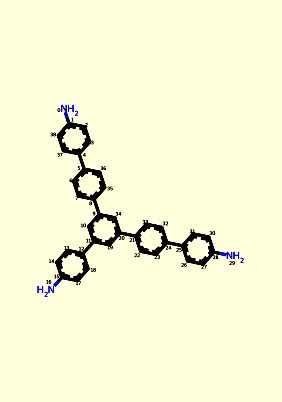 Nc1ccc(-c2ccc(-c3cc(-c4ccc(N)cc4)cc(-c4ccc(-c5ccc(N)cc5)cc4)c3)cc2)cc1